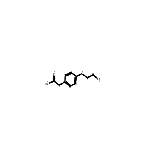 O=C(O)Cc1ccc(SCCO)cc1